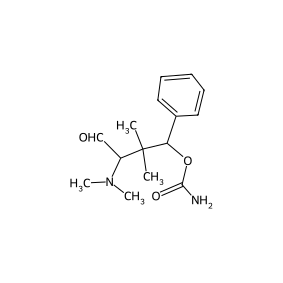 CN(C)C(C=O)C(C)(C)C(OC(N)=O)c1ccccc1